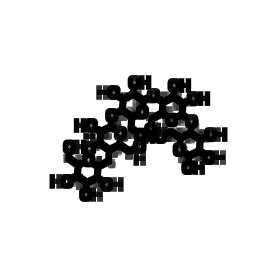 OCC1OC(CC2C(CO)OC(OC3C(CO)OC(OC4C(CO)OC(OC5C(CO)OC(O)C(O)C5O)C(O)C4O)C(O)C3O)C(O)C2O)C(O)C(O)C1O